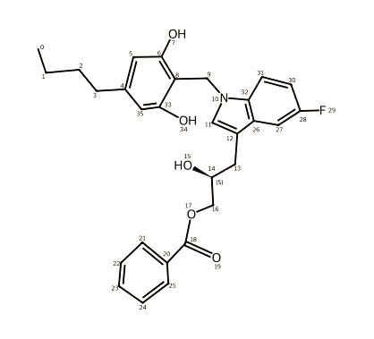 CCCCc1cc(O)c(Cn2cc(C[C@H](O)COC(=O)c3ccccc3)c3cc(F)ccc32)c(O)c1